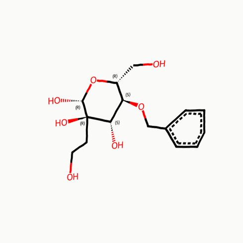 OCC[C@]1(O)[C@H](O)O[C@H](CO)[C@@H](OCc2ccccc2)[C@@H]1O